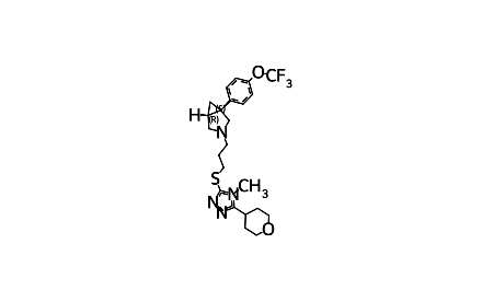 Cn1c(SCCCN2C[C@@H]3C[C@]3(c3ccc(OC(F)(F)F)cc3)C2)nnc1C1CCOCC1